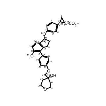 O=C(O)[C@H]1C[C@@H]1c1ccc(O[C@@H]2CCc3c2ccc(C(F)(F)F)c3-c2ccc(OCC3(O)CCOCC3)cc2)cc1